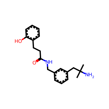 CC(C)(N)Cc1cccc(CNC(=O)CCc2ccccc2O)c1